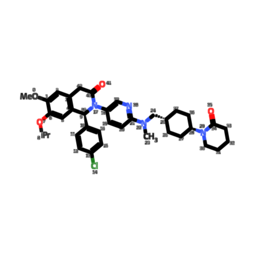 COc1cc2c(cc1OC(C)C)[C@H](c1ccc(Cl)cc1)N(c1ccc(N(C)C[C@H]3CC[C@H](N4CCCCC4=O)CC3)nc1)C(=O)C2